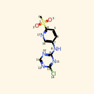 CS(=O)(=O)c1ccc(Nc2ncnc(Cl)n2)cn1